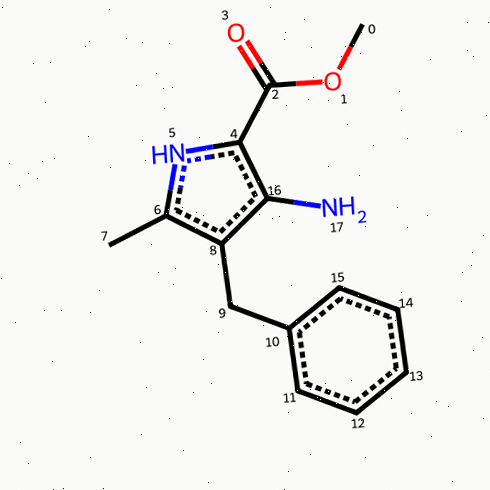 COC(=O)c1[nH]c(C)c(Cc2ccccc2)c1N